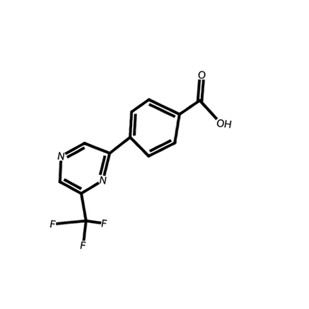 O=C(O)c1ccc(-c2cncc(C(F)(F)F)n2)cc1